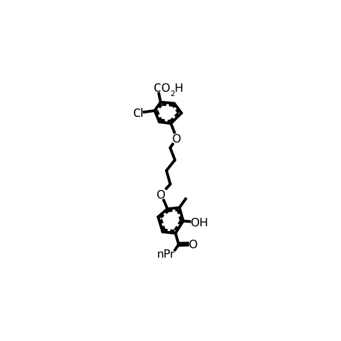 CCCC(=O)c1ccc(OCCCCOc2ccc(C(=O)O)c(Cl)c2)c(C)c1O